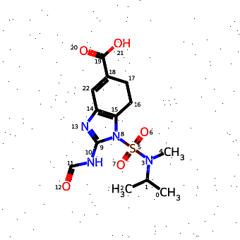 CC(C)N(C)S(=O)(=O)n1c(NC=O)nc2c1CCC(C(=O)O)=C2